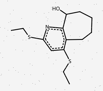 CCSc1cc(SCC)c2c(n1)C(O)CCCC2